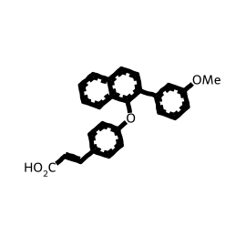 COc1cccc(-c2ccc3ccccc3c2Oc2ccc(C=CC(=O)O)cc2)c1